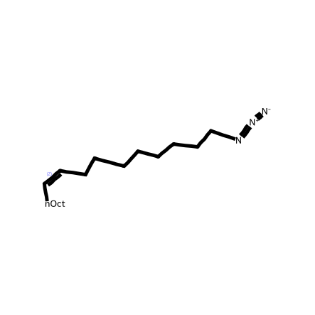 CCCCCCCC/C=C\CCCCCCCCN=[N+]=[N-]